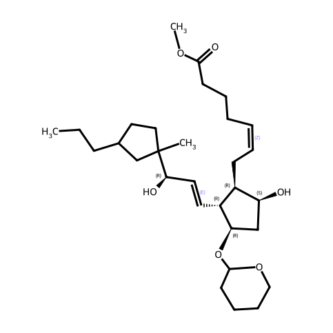 CCCC1CCC(C)([C@H](O)/C=C/[C@@H]2[C@@H](C/C=C\CCCC(=O)OC)[C@@H](O)C[C@H]2OC2CCCCO2)C1